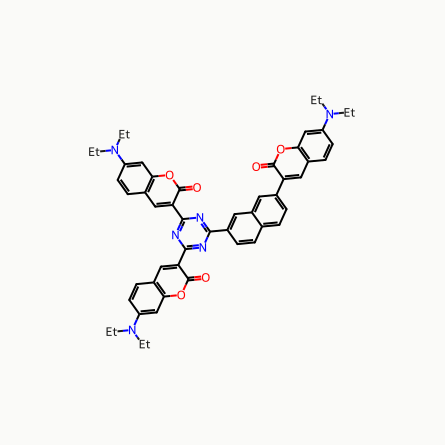 CCN(CC)c1ccc2cc(-c3ccc4ccc(-c5nc(-c6cc7ccc(N(CC)CC)cc7oc6=O)nc(-c6cc7ccc(N(CC)CC)cc7oc6=O)n5)cc4c3)c(=O)oc2c1